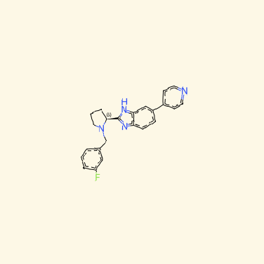 Fc1cccc(CN2CCC[C@H]2c2nc3ccc(-c4ccncc4)cc3[nH]2)c1